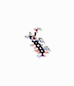 CC(=O)OCCOC(=O)N(Cc1cc(N(C)C)c2c(c1O)C(=O)C1=C(O)[C@]3(O)C(=O)C(C(N)=O)=C(O)[C@H](N(C)C)[C@H]3C[C@@H]1C2)CC(C)(C)C